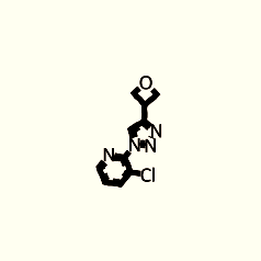 Clc1cccnc1-n1cc(C2COC2)nn1